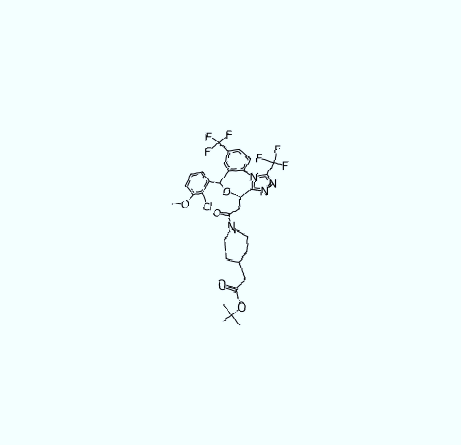 COc1cccc(C2OC(CC(=O)N3CCC(CC(=O)OC(C)(C)C)CC3)c3nnc(C(F)(F)F)n3-c3ccc(C(F)(F)F)cc32)c1Cl